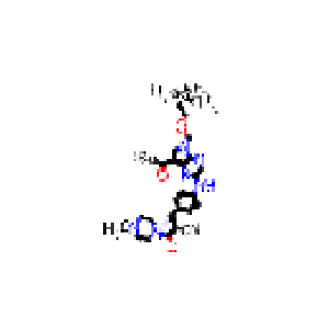 CN1CCN(C(=O)/C(C#N)=C/c2ccc(Nc3cnc4c(n3)c(C(=O)C(C)(C)C)cn4COCC[Si](C)(C)C)cc2)CC1